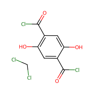 ClCCl.O=C(Cl)c1cc(O)c(C(=O)Cl)cc1O